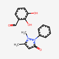 Cc1cc(=O)n(-c2ccccc2)n1C.O=Cc1cccc(O)c1O